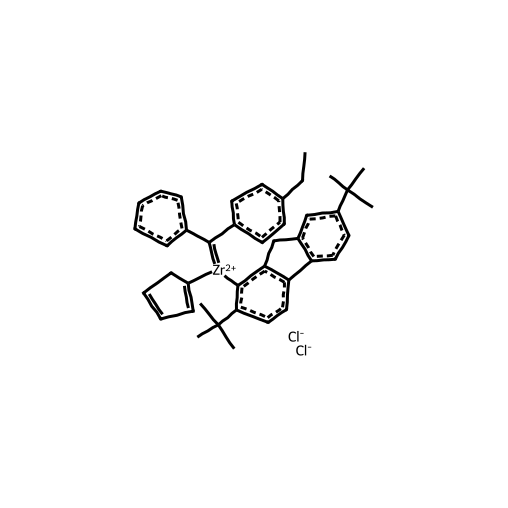 CCc1ccc(/[C](c2ccccc2)=[Zr+2](/[C]2=CC=CC2)[c]2c(C(C)(C)C)ccc3c2Cc2cc(C(C)(C)C)ccc2-3)cc1.[Cl-].[Cl-]